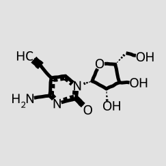 C#Cc1cn([C@@H]2O[C@H](CO)C(O)[C@@H]2O)c(=O)nc1N